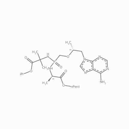 CCCCCOC(=O)[C@@H](C)NP(=O)(CO[C@H](C)Cn1cnc2c(N)ncnc21)NC(C)(C)C(=O)OC(C)C